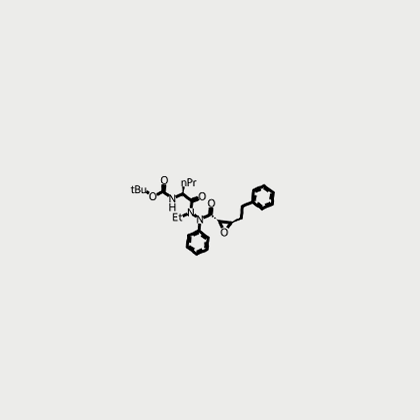 CCC[C@H](NC(=O)OC(C)(C)C)C(=O)N(CC)N(C(=O)[C@H]1O[C@@H]1CCc1ccccc1)c1ccccc1